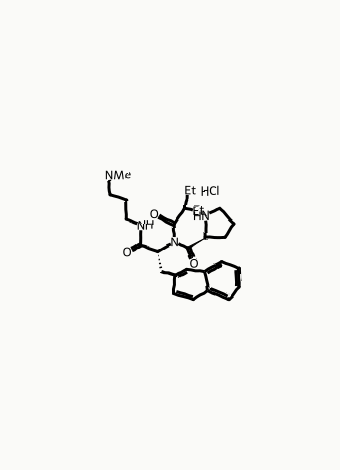 CCC(CC)C(=O)N(C(=O)[C@@H]1CCCN1)[C@H](Cc1ccc2ccccc2c1)C(=O)NCCCNC.Cl